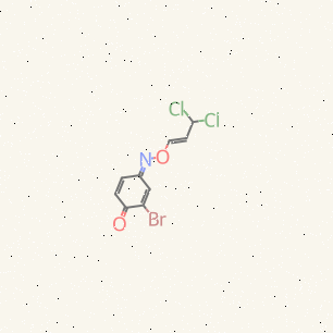 O=C1C=CC(=NOC=CC(Cl)Cl)C=C1Br